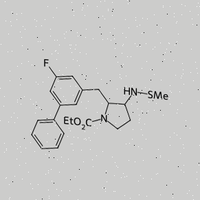 CCOC(=O)N1CCC(NSC)C1Cc1cc(F)cc(-c2ccccc2)c1